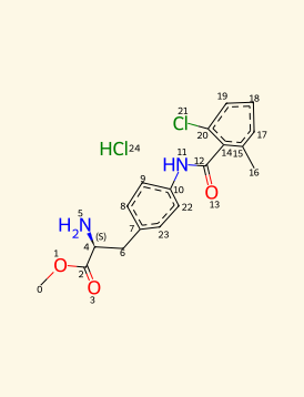 COC(=O)[C@@H](N)Cc1ccc(NC(=O)c2c(C)cccc2Cl)cc1.Cl